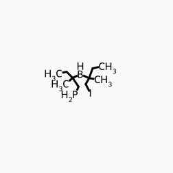 CCC(C)(BC(C)(CC)CI)CP